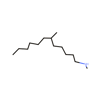 CCCCCCC(C)CCCCCNC